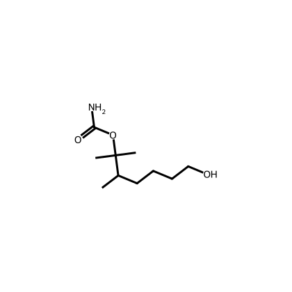 CC(CCCCO)C(C)(C)OC(N)=O